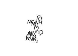 N#C/N=C(\NC[C@H]1CCCO1)N1CCC(CNC(=O)c2nccnc2N)(c2ccccc2)CC1